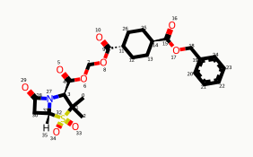 CC1(C)[C@H](C(=O)OCOC(=O)[C@H]2CC[C@H](C(=O)OCc3ccccc3)CC2)N2C(=O)C[C@H]2S1(=O)=O